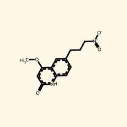 COc1cc(=O)[nH]c2ccc(CCC[N+](=O)[O-])cc12